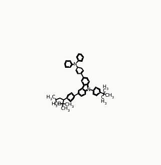 CC(C)CC(c1ccc(-c2ccc3c(c2)c2cc(C4=CCC(N(c5ccccc5)c5ccccc5)C=C4)ccc2n3-c2ccc(C(C)(C)C)cc2)cc1)C(C)(C)C